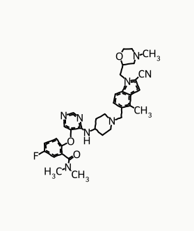 Cc1c(CN2CCC(Nc3ncncc3Oc3ccc(F)cc3C(=O)N(C)C)CC2)ccc2c1cc(C#N)n2CC1CN(C)CCO1